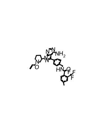 C=CC(=O)N1CCCC(n2nc(-c3ccc(CNC(=O)c4ccc(C)cc4C(F)(F)F)cc3)c3c(N)ncnc32)C1